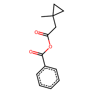 CC1(CC(=O)OC(=O)c2ccccc2)CC1